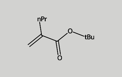 C=C(CCC)C(=O)OC(C)(C)C